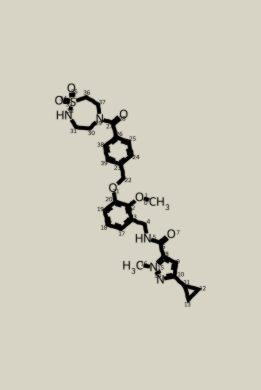 COc1c(CNC(=O)c2cc(C3CC3)nn2C)cccc1OCc1ccc(C(=O)N2CCNS(=O)(=O)CC2)cc1